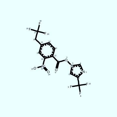 O=C(On1cnc(C(F)(F)F)c1)c1ccc(CC(F)(F)F)cc1[N+](=O)[O-]